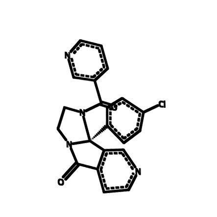 O=C(c1cccnc1)N1CCN2C(=O)c3ccncc3[C@]12c1ccc(Cl)cc1